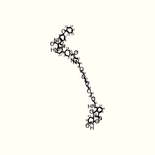 NC(=O)c1c(-c2ccc(Oc3ccccc3)cc2)nn2c1NCC[C@H]2C1CCN(C(=O)c2cn(CCOCCOCCOCCOCCOCCNc3cccc4c3C(=O)N(C3CCC(=O)NC3=O)C4=O)nn2)CC1